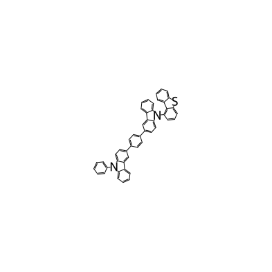 c1ccc(-n2c3ccccc3c3cc(-c4ccc(-c5ccc6c(c5)c5ccccc5n6-c5cccc6sc7ccccc7c56)cc4)ccc32)cc1